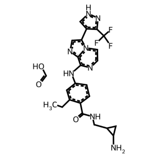 CCc1cc(Nc2nccn3c(-c4c[nH]nc4C(F)(F)F)cnc23)ccc1C(=O)NCC1CC1N.O=CO